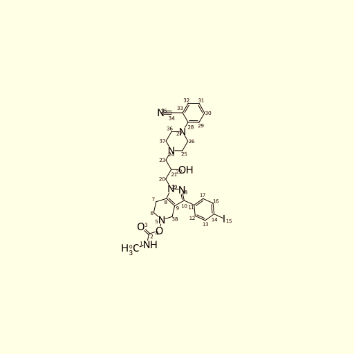 CNC(=O)ON1CCc2c(c(-c3ccc(I)cc3)nn2CC(O)CN2CCN(c3ccccc3C#N)CC2)C1